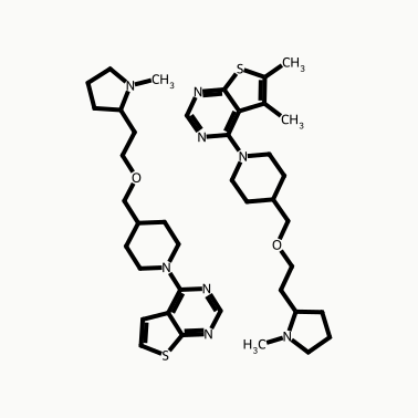 CN1CCCC1CCOCC1CCN(c2ncnc3sccc23)CC1.Cc1sc2ncnc(N3CCC(COCCC4CCCN4C)CC3)c2c1C